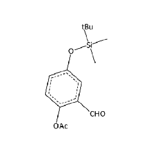 CC(=O)Oc1ccc(O[Si](C)(C)C(C)(C)C)cc1C=O